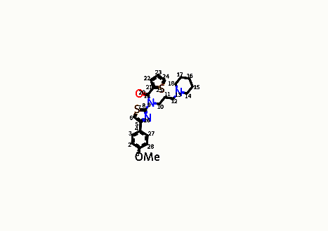 COc1ccc(-c2csc(N(CCCN3CCCCC3)C(=O)c3cccs3)n2)cc1